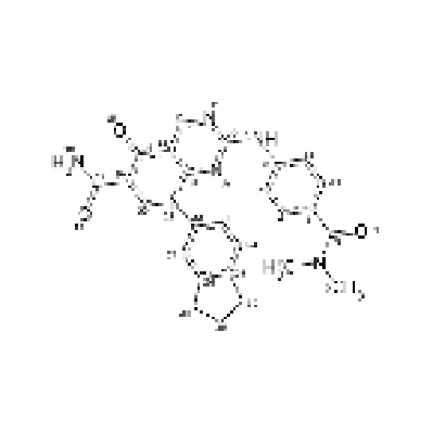 CN(C)C(=O)c1ccc(Nc2ncc3c(=O)c(C(N)=O)cn(-c4ccc5c(c4)CCC5)c3n2)cc1